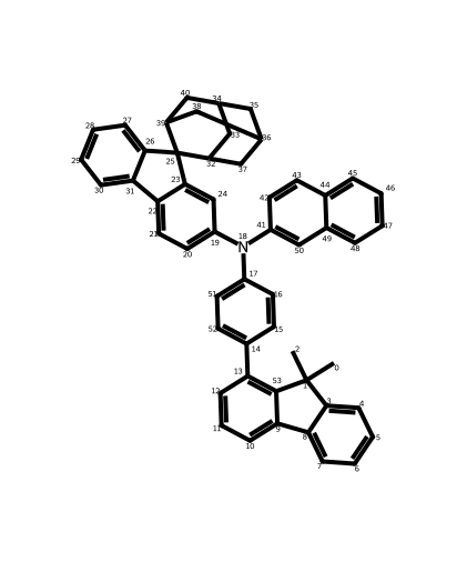 CC1(C)c2ccccc2-c2cccc(-c3ccc(N(c4ccc5c(c4)C4(c6ccccc6-5)C5CC6CC(C5)CC4C6)c4ccc5ccccc5c4)cc3)c21